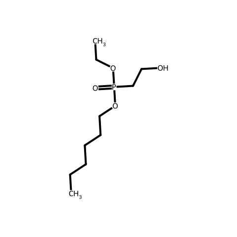 CCCCCCOP(=O)(CCO)OCC